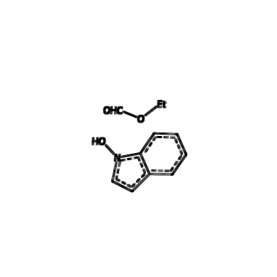 CCOC=O.On1ccc2ccccc21